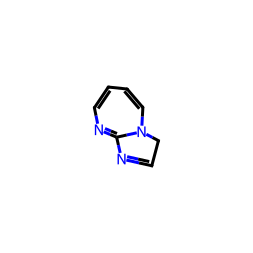 C1=CN=C2N=CCN2C=C1